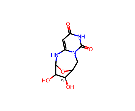 O=c1cc2n(c(=O)[nH]1)CC1OC(N2)C(O)[C@@H]1O